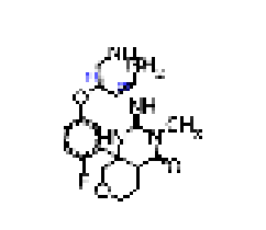 CN1C(=N)NC2(c3cc(OC(/C=C\N)=C/N)ccc3F)COCCC2C1=O